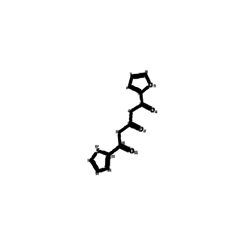 O=C(CC(=O)c1ccco1)CC(=O)c1cccs1